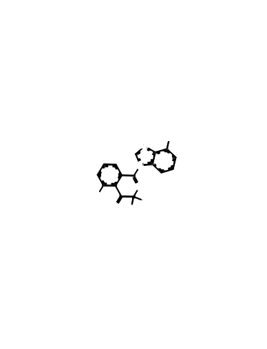 Cc1cccc2c1C(=O)C(C)(C)N=C2n1cnc2c(C)cccc21